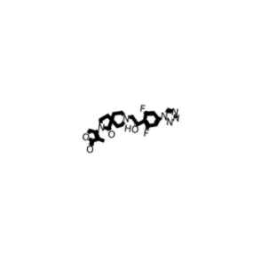 CC1=C(N2CCC3(CCN(C[C@@H](O)c4c(F)cc(-n5cnnn5)cc4F)CC3)C2=O)COC1=O